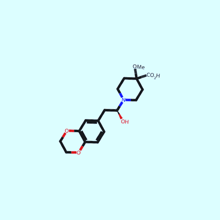 COC1(C(=O)O)CCN([C@@H](O)Cc2ccc3c(c2)OCCO3)CC1